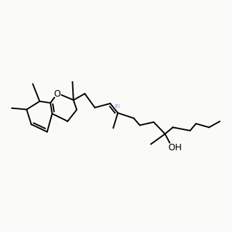 CCCCCC(C)(O)CCC/C(C)=C/CCC1(C)CCC2=C(O1)C(C)C(C)C=C2